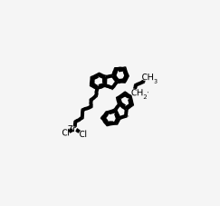 [CH2]CCC.[CH]1c2ccccc2-c2ccccc21.[Cl][Zr]([Cl])[CH2]CCCCCc1cccc2c1[CH]c1ccccc1-2